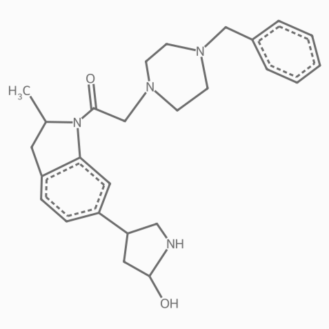 CC1Cc2ccc(C3CNC(O)C3)cc2N1C(=O)CN1CCN(Cc2ccccc2)CC1